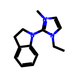 CCn1cc[n+](C)c1N1CCc2ccccc21